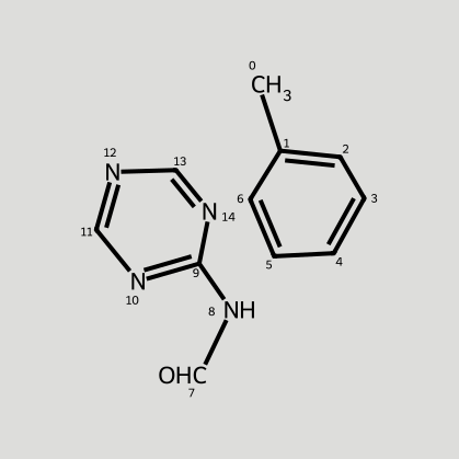 Cc1ccccc1.O=CNc1ncncn1